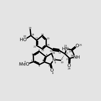 COc1ccc2c(c1)C(=O)N(C[C@]1(C#Cc3ccc(C(C)O)cc3)NC(=O)NC1=O)C2